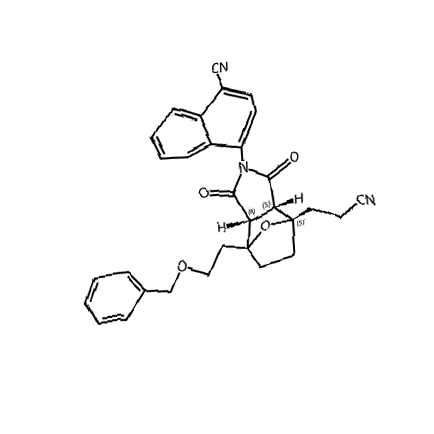 N#CCC[C@@]12CCC(CCOCc3ccccc3)(O1)[C@@H]1C(=O)N(c3ccc(C#N)c4ccccc34)C(=O)[C@@H]12